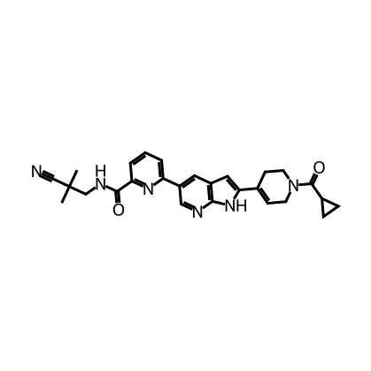 CC(C)(C#N)CNC(=O)c1cccc(-c2cnc3[nH]c(C4=CCN(C(=O)C5CC5)CC4)cc3c2)n1